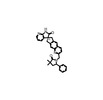 CC1(C)CC(c2ccccc2)N(Cc2ccc3cc4c(cc3n2)C[C@]2(C4)C(=O)Nc3ncccc32)C1=O